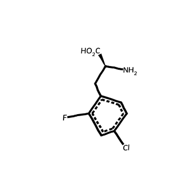 N[C@@H](Cc1ccc(Cl)cc1F)C(=O)O